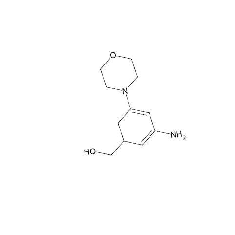 NC1=CC(CO)CC(N2CCOCC2)=C1